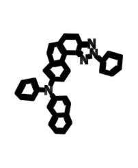 c1ccc(N(c2ccc3ccccc3c2)c2ccc3c(ccc4ccc5nn(-c6ccccc6)nc5c43)c2)cc1